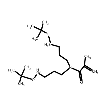 C=C(C)C(=O)N(CCC[SiH2]OC(C)(C)C)CCC[SiH2]OC(C)(C)C